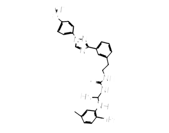 CCCc1ccc(C)cc1NC(S)NC(=O)NCCc1cccc(-c2ncn(-c3ccc(OC(F)(F)F)cc3)n2)c1